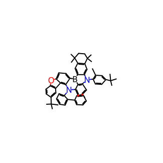 Cc1cc2c3c(c1)N(c1ccccc1-c1ccccc1)c1c(ccc4oc5ccc(C(C)(C)C)cc5c14)B3c1cc3c(cc1N2c1ccc(C(C)(C)C)cc1C)C(C)(C)CCC3(C)C